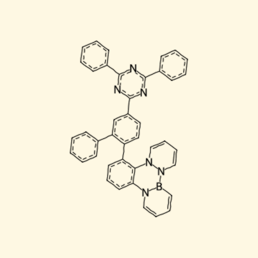 C1=CB2N(C=C1)c1cccc(-c3ccc(-c4nc(-c5ccccc5)nc(-c5ccccc5)n4)cc3-c3ccccc3)c1N1C=CC=CN21